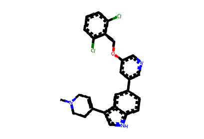 CN1CC=C(c2c[nH]c3ccc(-c4cncc(OCc5c(Cl)cccc5Cl)c4)cc23)CC1